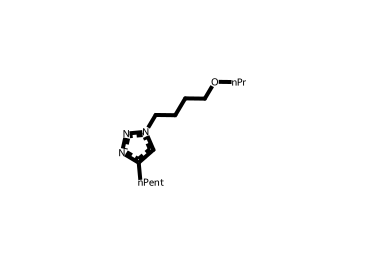 CCCCCc1cn(CCCCOCCC)nn1